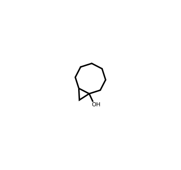 OC12CCCCCCC1C2